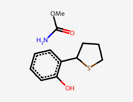 COC(N)=O.Oc1ccccc1C1CCCS1